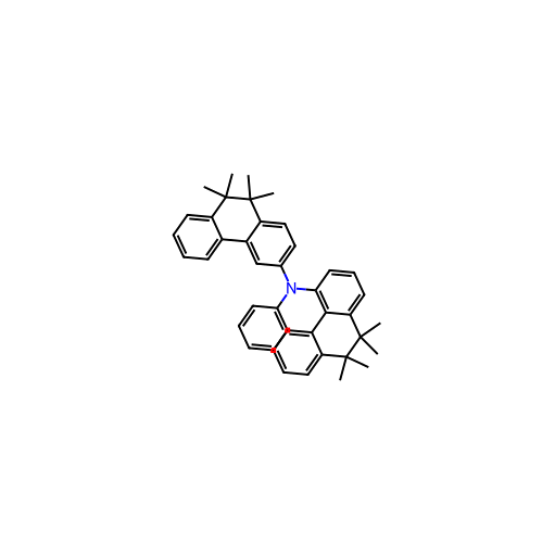 CC1(C)c2ccccc2-c2cc(N(c3ccccc3)c3cccc4c3-c3ccccc3C(C)(C)C4(C)C)ccc2C1(C)C